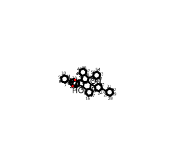 OC1(c2ccc(-c3ccccc3)cc2)c2ccccc2C(O)(c2ccc(-c3ccccc3)cc2)c2c1c(-c1ccccc1)c1ccccc1c2-c1ccccc1